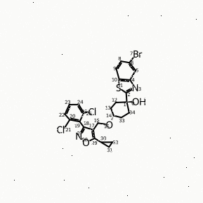 O[C@]1(c2nc3cc(Br)ccc3s2)CC[C@@H](OCc2c(-c3c(Cl)cccc3Cl)noc2C2CC2)CC1